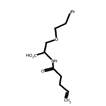 C=CCCC(=O)NC(COCCC(C)C)C(=O)O